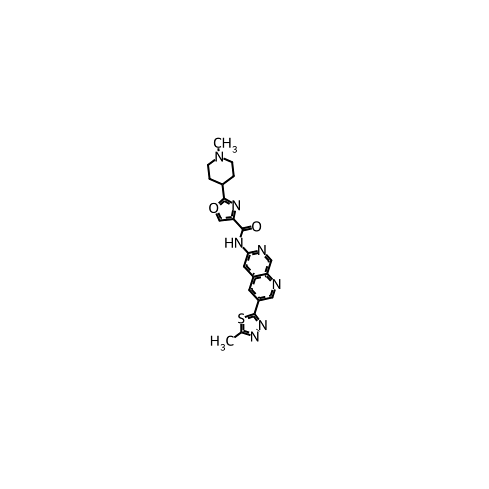 Cc1nnc(-c2cnc3cnc(NC(=O)c4coc(C5CCN(C)CC5)n4)cc3c2)s1